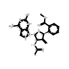 C=C1[C@H](c2ccccc2C(=O)OC)O[C@@H](n2ncc3c(N)nc(Cl)nc32)[C@@H]1OC(C)=O